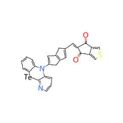 O=C1C(=CC2=CC3=C(C=C(N4c5ccccc5[Te]c5ncccc54)C3)C2)C(=O)c2cscc21